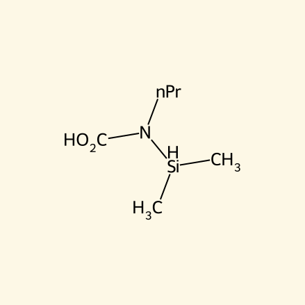 CCCN(C(=O)O)[SiH](C)C